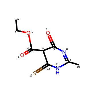 CCOC(=O)C1C(=O)N=C(C)NC1=S